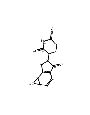 O=C1CCC(N2CC3=C(C=CC4OC34)C2=O)C(=O)N1